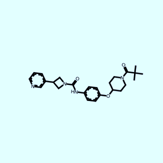 CC(C)(C)C(=O)N1CCC(Oc2ccc(NC(=O)N3CC(c4cccnc4)C3)cc2)CC1